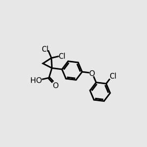 O=C(O)C1(c2ccc(Oc3ccccc3Cl)cc2)CC1(Cl)Cl